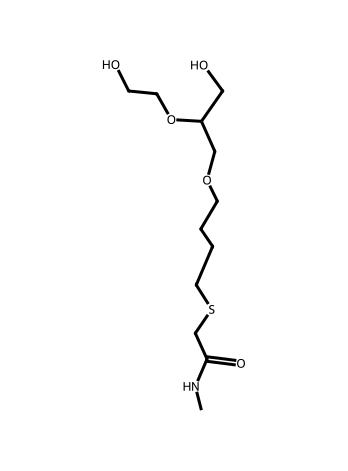 CNC(=O)CSCCCCOCC(CO)OCCO